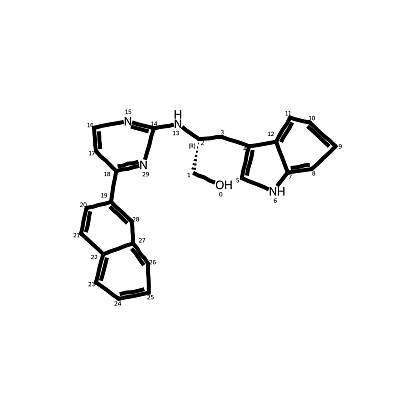 OC[C@@H](Cc1c[nH]c2ccccc12)Nc1nccc(-c2ccc3ccccc3c2)n1